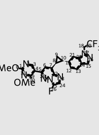 COc1ncc(-c2cc([C@H]3C[C@@H]3c3ccc4cnn(CC(F)(F)F)c4c3)c3ncc(F)n3n2)c(OC)n1